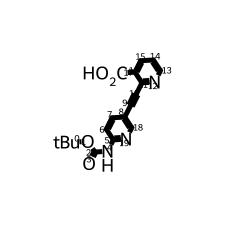 CC(C)(C)OC(=O)Nc1ccc(C#Cc2ncccc2C(=O)O)cn1